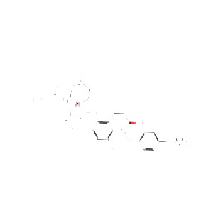 COc1ccc(CN2C(=O)CCc3c(OC[C@]4(O[Si](C)(C)C)CCNC[C@H]4O[Si](C)(C)C(C)(C)C)cc(F)c(F)c32)cc1